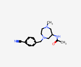 CC(=O)NC1CN(C)CCN(Cc2ccc(C#N)cc2)C1